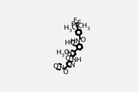 Cn1cc(-c2cccc(NC(=O)c3ccc(C(C)(C)C(F)(F)F)cc3)c2CO)cc(Nc2ccc(C(=O)N3CCOCC3)cn2)c1=O